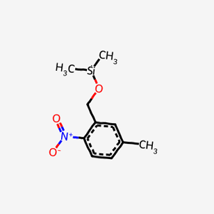 Cc1ccc([N+](=O)[O-])c(CO[Si](C)C)c1